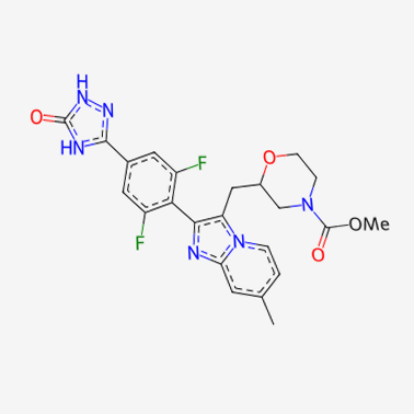 COC(=O)N1CCOC(Cc2c(-c3c(F)cc(-c4n[nH]c(=O)[nH]4)cc3F)nc3cc(C)ccn23)C1